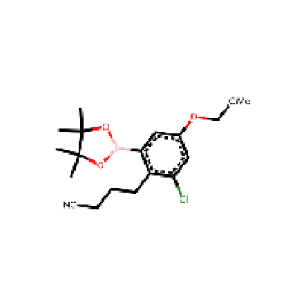 COCOc1cc(Cl)c(CCCC#N)c(B2OC(C)(C)C(C)(C)O2)c1